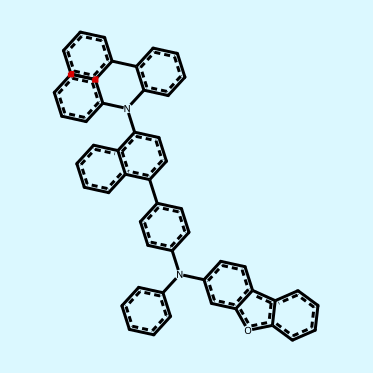 c1ccc(-c2ccccc2N(c2ccccc2)c2ccc(-c3ccc(N(c4ccccc4)c4ccc5c(c4)oc4ccccc45)cc3)c3ccccc23)cc1